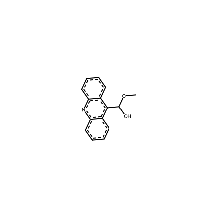 COC(O)c1c2ccccc2nc2ccccc12